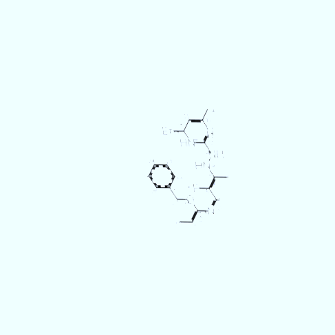 C/C=C(/N=C\C(F)=C(/C)NNC1=NC(C)=CC(CC)N1)OCc1ccccc1